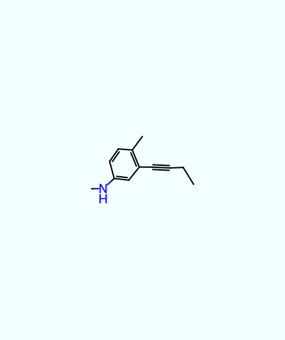 CCC#Cc1cc(NC)ccc1C